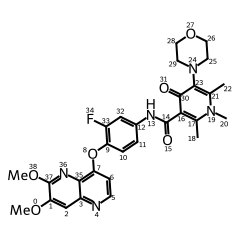 COc1cc2nccc(Oc3ccc(NC(=O)c4c(C)n(C)c(C)c(N5CCOCC5)c4=O)cc3F)c2nc1OC